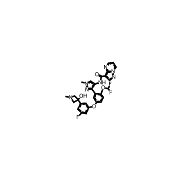 CN1CC(O)(c2cc(F)cc(Oc3ccc(OC(F)F)c(-c4nn(C)cc4NC(=O)c4cnn5cccnc45)c3)c2)C1